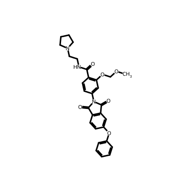 COCOc1cc(N2C(=O)c3ccc(Oc4ccccc4)cc3C2=O)ccc1C(=O)NCCN1CCCC1